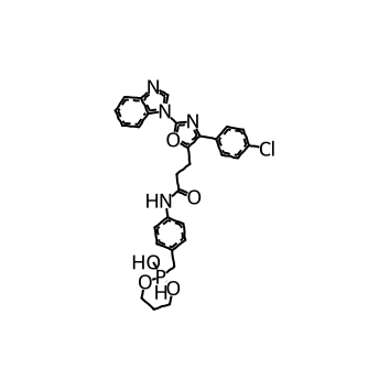 O=C(CCc1oc(-n2cnc3ccccc32)nc1-c1ccc(Cl)cc1)Nc1ccc(C[PH]2(O)OCCCO2)cc1